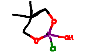 CC1(C)CO[P](O)(Cl)OC1